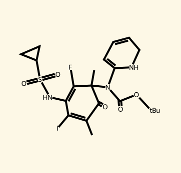 CC1=C(I)C(NS(=O)(=O)C2CC2)=C(F)C(C)(N(C(=O)OC(C)(C)C)C2=CC=CCN2)C1=O